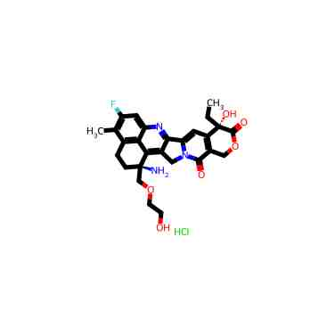 CC[C@@]1(O)C(=O)OCc2c1cc1n(c2=O)Cc2c-1nc1cc(F)c(C)c3c1c2[C@](N)(COCCO)CC3.Cl